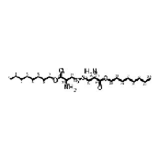 CCCCCCCCOC(=O)C(N)CSSC[C@H](N)C(=O)OCCCCCCCC